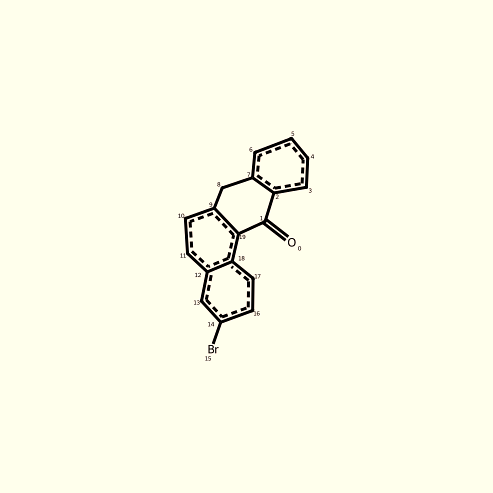 O=C1c2ccccc2Cc2ccc3cc(Br)ccc3c21